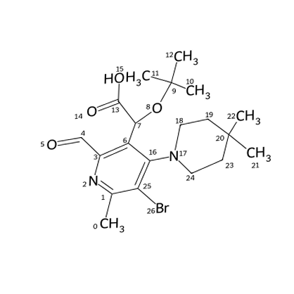 Cc1nc(C=O)c(C(OC(C)(C)C)C(=O)O)c(N2CCC(C)(C)CC2)c1Br